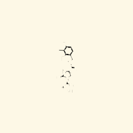 CC(C)(C)OC(=O)N1C[C@@H](C(=O)NCc2ccc(F)c(Cl)c2F)NC1=O